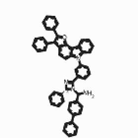 NC(c1ccc(-c2ccccc2)cc1)N1C(c2cccc(-n3c4ccccc4c4c5oc(-c6ccccc6)c(-c6ccccc6)c5ccc43)c2)=N[C@H]1c1ccccc1